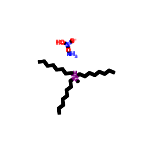 CCCCCCCC[PH](C)(CCCCCCCC)CCCCCCCC.N.O=[N+]([O-])O